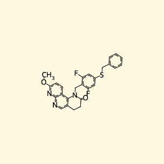 COc1ccc2c3c(cnc2n1)CCC(=O)N3Cc1c(F)cc(SCc2ccccc2)cc1F